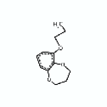 CCCOc1cccc2c1OCCCO2